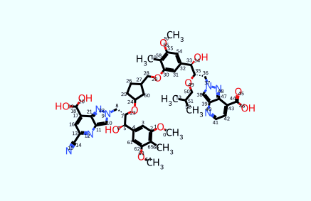 COc1cc([C@@H](O)[C@H](Cn2cc3nc(C#N)cc(C(O)O)c3n2)OC2CCC(COc3cc([C@@H](O)[C@H](Cn4cc5nccc(C(=O)O)c5n4)OCC(C)C)cc(OC)c3C)C2)cc(OC)c1C